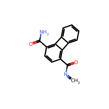 C=NC(=O)c1ccc(C(N)=O)c2c1-c1ccccc1-2